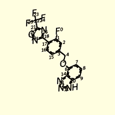 Fc1cc(COc2cccc3[nH]nnc23)ccc1-c1noc(C(F)(F)F)n1